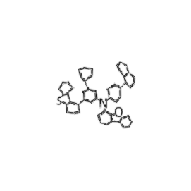 c1ccc(-c2cc(-c3cccc4sc5ccccc5c34)cc(N(c3ccc(-c4cccc5ccccc45)cc3)c3cccc4c3oc3ccccc34)c2)cc1